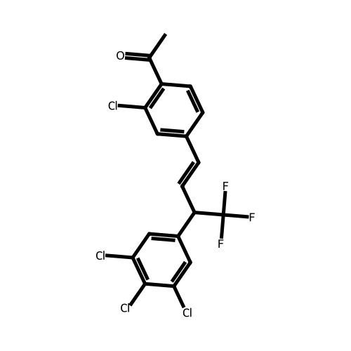 CC(=O)c1ccc(/C=C/C(c2cc(Cl)c(Cl)c(Cl)c2)C(F)(F)F)cc1Cl